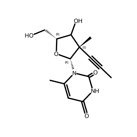 CC#C[C@@]1(C)C(O)[C@@H](CO)O[C@H]1n1c(C)cc(=O)[nH]c1=O